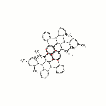 Cc1cc(C)c(B2c3ccccc3N(c3ccccc3-c3ccccc3)c3c2c(C(C)C)c2ccc4c5c(c(C(C)C)c6ccc3c2c64)B(c2c(C)cc(C)cc2C)c2ccccc2N5c2ccccc2-c2ccccc2)c(C)c1